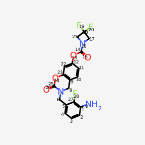 Nc1cccc(CN2Cc3ccc(OC(=O)N4CC(F)(F)C4)cc3OC2=O)c1F